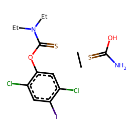 CC.CCN(CC)C(=S)Oc1cc(Cl)c(I)cc1Cl.NC(O)=S